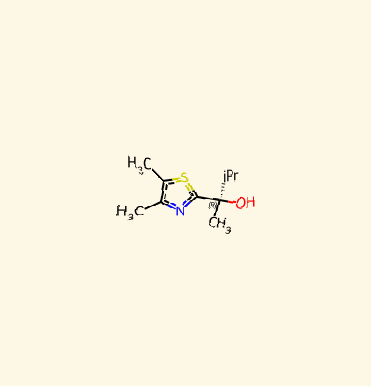 Cc1nc([C@](C)(O)C(C)C)sc1C